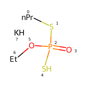 CCCSP(=O)(S)OCC.[KH]